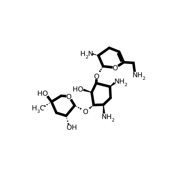 C[C@]1(O)CO[C@H](O[C@H]2[C@H](N)C[C@H](N)C(O[C@H]3OC(CN)=CC[C@H]3N)[C@@H]2O)[C@H](O)C1